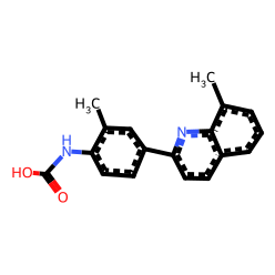 Cc1cc(-c2ccc3cccc(C)c3n2)ccc1NC(=O)O